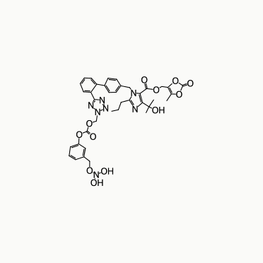 CCCc1nc(C(C)(C)O)c(C(=O)OCc2oc(=O)oc2C)n1Cc1ccc(-c2ccccc2-c2nnn(COC(=O)Oc3cccc(CON(O)O)c3)n2)cc1